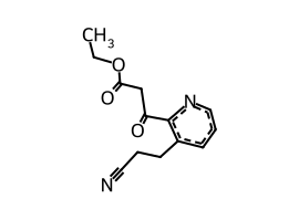 CCOC(=O)CC(=O)c1ncccc1CCC#N